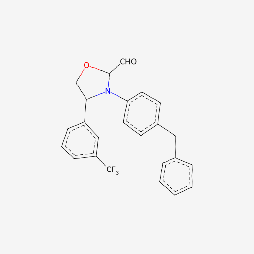 O=CC1OCC(c2cccc(C(F)(F)F)c2)N1c1ccc(Cc2ccccc2)cc1